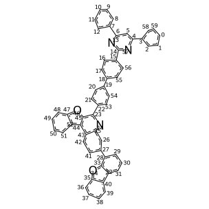 c1ccc(-c2cc(-c3ccccc3)nc(-c3ccc(-c4ccc(-c5nc6cc(-c7cccc8c7oc7ccccc78)ccc6c6c5oc5ccccc56)cc4)cc3)n2)cc1